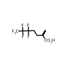 C=C(CCC(F)(F)C(F)(F)C(F)(F)F)C(=O)O